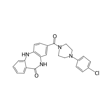 O=C1Nc2cc(C(=O)N3CCN(c4ccc(Cl)cc4)CC3)ccc2Nc2ccccc21